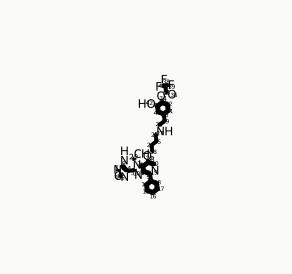 CCn1c(-c2nonc2N)nc2c(-c3ccccc3)ncc(OCCCCNCCc3ccc(OC(=O)C(F)(F)F)c(O)c3)c21